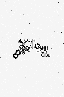 CC(C)COC(=O)NC(=N)N1CCC[C@@H](CNC(=O)C[C@H](NS(=O)(=O)c2ccc3ccccc3c2)C(=O)N(CC(=O)O)C2CC2)C1